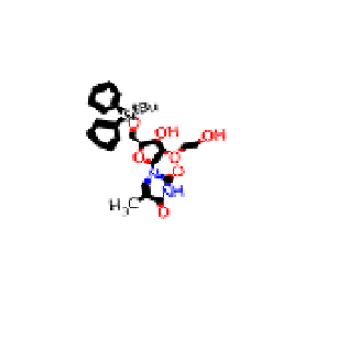 Cc1cn([C@H]2O[C@@H](CO[Si](c3ccccc3)(c3ccccc3)C(C)(C)C)C(O)C2OCCO)c(=O)[nH]c1=O